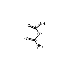 NC(=O)[Te]C(N)=O